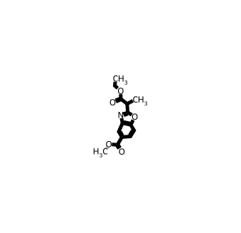 CCOC(=O)C(C)c1nc2cc(C(=O)OC)ccc2o1